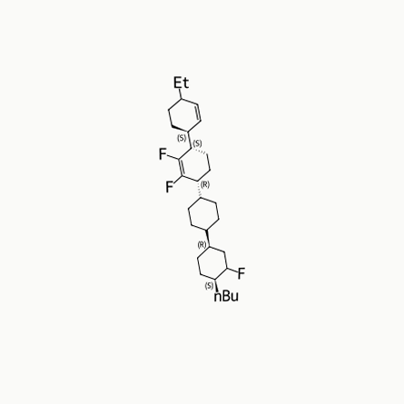 CCCC[C@H]1CC[C@@H](C2CCC([C@H]3CC[C@@H]([C@@H]4C=CC(CC)CC4)C(F)=C3F)CC2)CC1F